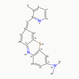 Cc1cccnc1C=c1ccc2c(c1)Sc1cc(N(C)C)ccc1N=2